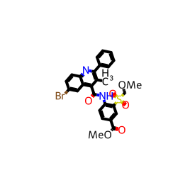 COCS(=O)(=O)c1cc(C(=O)OC)ccc1NC(=O)c1c(C)c(-c2ccccc2)nc2ccc(Br)cc12